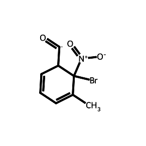 CC1=CC=CC([C]=O)C1(Br)[N+](=O)[O-]